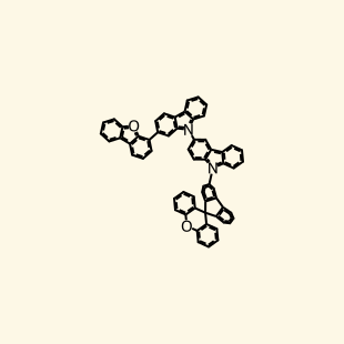 c1ccc2c(c1)Oc1ccccc1C21c2ccccc2-c2cc(-n3c4ccccc4c4cc(-n5c6ccccc6c6ccc(-c7cccc8c7oc7ccccc78)cc65)ccc43)ccc21